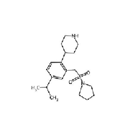 CC(C)c1ccc(C2CCNCC2)c(CS(=O)(=O)N2CCCC2)c1